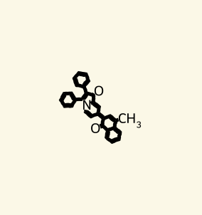 CC1=CC(=C2C=CN3C(=C2)C(=O)C(c2ccccc2)=C3c2ccccc2)C(=O)c2ccccc21